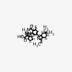 CCc1nn(-c2cc(F)c(C(N)=O)c(NC3([C@H](N)C(=O)O)CCCC3)c2)c2c1CCC(C)(C)C2